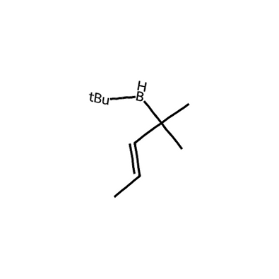 CC=CC(C)(C)BC(C)(C)C